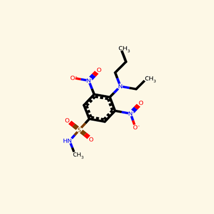 CCCN(CC)c1c([N+](=O)[O-])cc(S(=O)(=O)NC)cc1[N+](=O)[O-]